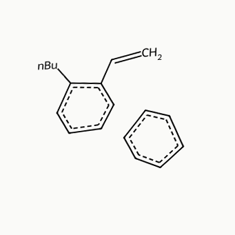 C=Cc1ccccc1CCCC.c1ccccc1